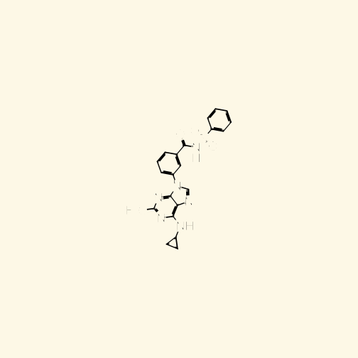 O=C(NS(=O)(=O)c1ccccc1)c1cccc(-n2cnc3c(NC4CC4)nc(C(F)(F)F)nc32)c1